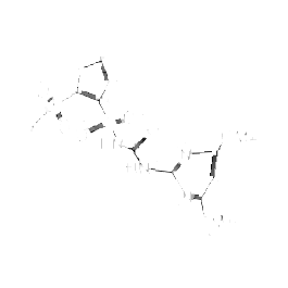 COc1cc(OC)nc(NC(=O)NS(=O)(=O)c2ccsc2S(C)(=O)=O)n1